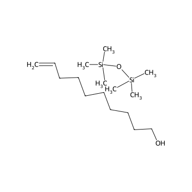 C=CCCCCCCCCO.C[Si](C)(C)O[Si](C)(C)C